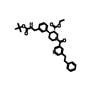 CCOC(=O)[C@@H]1CN(C(=O)c2cncc(CCc3ccccc3)c2)CC[C@H]1c1cccc(CNC(=O)OC(C)(C)C)c1